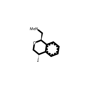 CNC[C@@H]1OC[C@@H](C)c2ccccc21